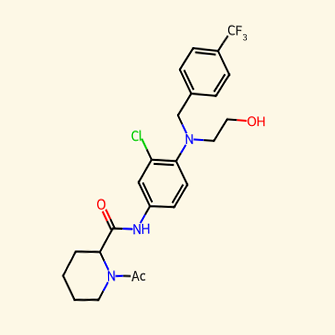 CC(=O)N1CCCCC1C(=O)Nc1ccc(N(CCO)Cc2ccc(C(F)(F)F)cc2)c(Cl)c1